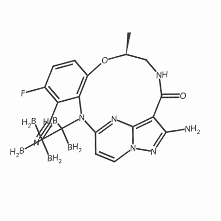 BC(B)(B)C(B)(B)N1c2ccn3nc(N)c(c3n2)C(=O)NC[C@H](C)Oc2ccc(F)c(C#N)c21